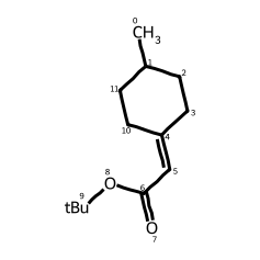 CC1CCC(=CC(=O)OC(C)(C)C)CC1